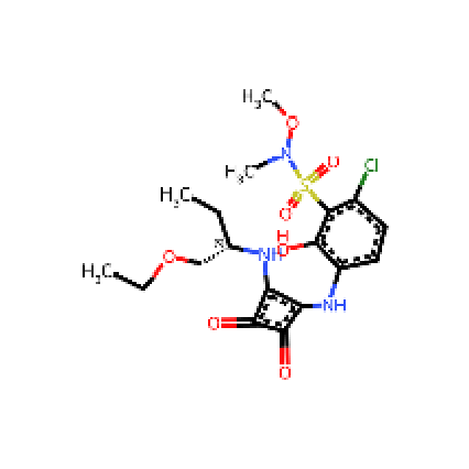 CCOC[C@H](CC)Nc1c(Nc2ccc(Cl)c(S(=O)(=O)N(C)OC)c2O)c(=O)c1=O